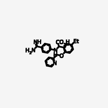 CCc1ccc(OCc2ccccn2)c(C(Nc2ccc(C(=N)N)cc2)C(=O)O)c1